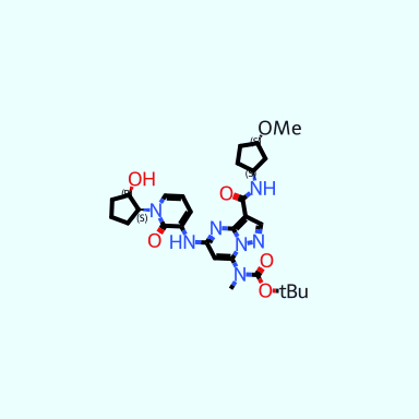 CO[C@H]1CC[C@H](NC(=O)c2cnn3c(N(C)C(=O)OC(C)(C)C)cc(Nc4cccn([C@H]5CCC[C@H]5O)c4=O)nc23)C1